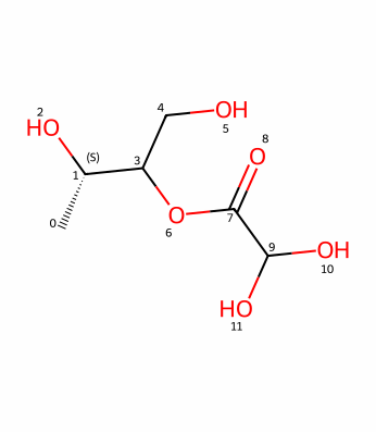 C[C@H](O)C(CO)OC(=O)C(O)O